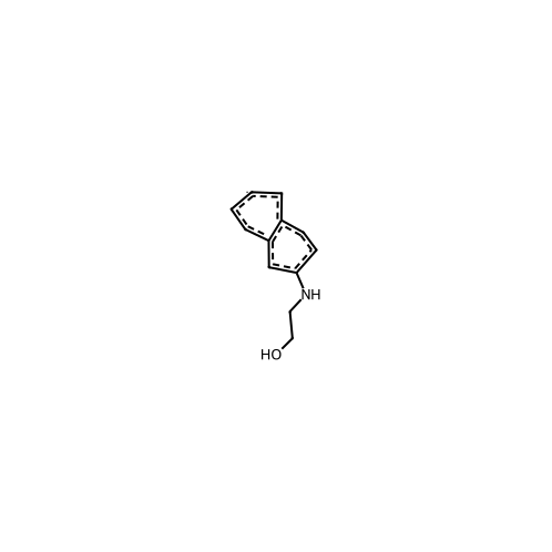 OCCNc1ccc2c[c]ccc2c1